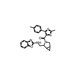 Cc1ccc(-c2sc(C)nc2C(=O)N2CC3CC3C2CNc2nc3ccccc3o2)cc1